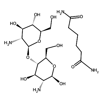 NC(=O)CCCCC(N)=O.N[C@@H]1[C@@H](O)[C@H](O[C@@H]2O[C@H](CO)[C@@H](O)[C@H](O)[C@H]2N)[C@@H](CO)O[C@H]1O